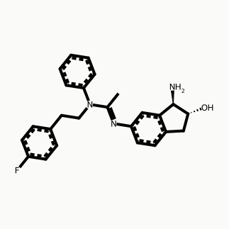 CC(=Nc1ccc2c(c1)[C@@H](N)[C@H](O)C2)N(CCc1ccc(F)cc1)c1ccccc1